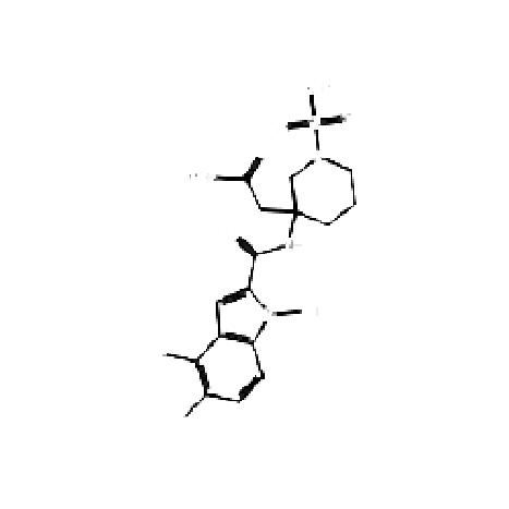 CNC(=O)CC1(NC(=O)c2cc3c(Cl)c(Cl)ccc3n2C)CCCN(S(=O)(=O)NC(C)=O)C1